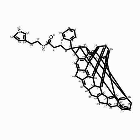 O=C(CCCC1(c2ccccc2)C2c3cc4c5c6c7c8c9c%10c%11c%12c(cc%13c%14c%15c(c%16c(c3c5c8%16)C3C%15C(=CC321)C=%13)c9c%14%12)CC=%11CC(C=C6C4)C7%10)OCCc1ccsc1